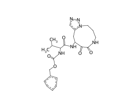 CC(C)C(NC(=O)OCc1ccccc1)C(=O)NC1Cc2cnnn2CCCNC(=O)C1=O